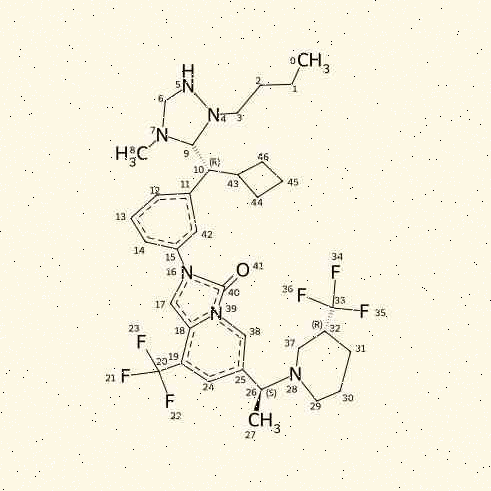 CCCCN1NCN(C)C1[C@@H](c1cccc(-n2cc3c(C(F)(F)F)cc([C@H](C)N4CCC[C@@H](C(F)(F)F)C4)cn3c2=O)c1)C1CCC1